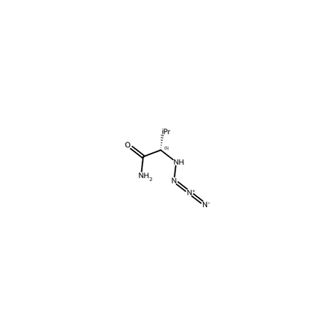 CC(C)[C@H](NN=[N+]=[N-])C(N)=O